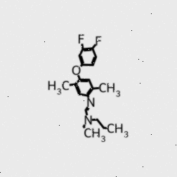 CCCN(C=Nc1cc(C)c(Oc2ccc(F)c(F)c2)cc1C)CC